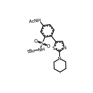 CC(=O)Nc1ccc(-c2cnc(N3CC[CH]CC3)s2)c(S(=O)(=O)NC(C)(C)C)c1